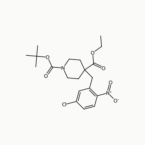 CCOC(=O)C1(Cc2cc(Cl)ccc2[N+](=O)[O-])CCN(C(=O)OC(C)(C)C)CC1